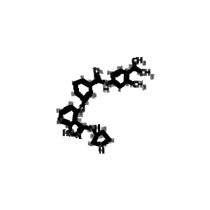 Cc1cc(NC(=O)c2cccc(Oc3ccnc4[nH]nc(N[C@H]5CCNC5)c34)c2)ccc1C(C)C